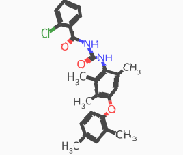 Cc1ccc(Oc2cc(C)c(NC(=O)NC(=O)c3ccccc3Cl)c(C)c2C)c(C)c1